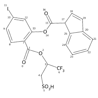 O=C(OC(CS(=O)(=O)O)C(F)(F)F)c1ccc(I)cc1OC(=O)C1C=Cc2ccccc21